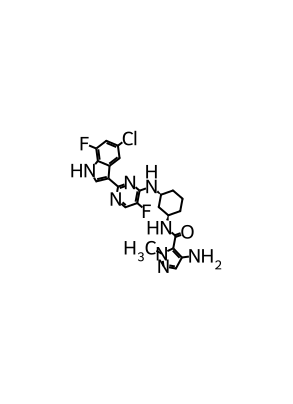 Cn1ncc(N)c1C(=O)N[C@@H]1CCC[C@H](Nc2nc(-c3c[nH]c4c(F)cc(Cl)cc34)ncc2F)C1